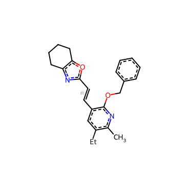 CCc1cc(/C=C/c2nc3c(o2)CCCC3)c(OCc2ccccc2)nc1C